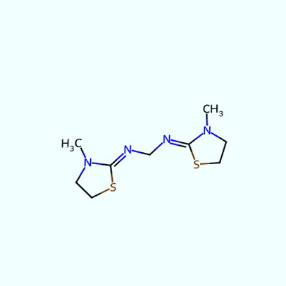 CN1CCS/C1=N\C/N=C1\SCCN1C